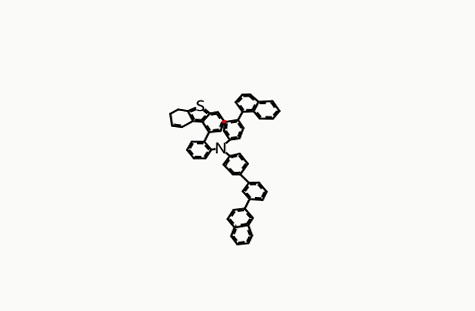 C1=Cc2c(sc3cccc(-c4ccccc4N(c4ccc(-c5cccc(-c6ccc7ccccc7c6)c5)cc4)c4ccc(-c5cccc6ccccc56)cc4)c23)CC1